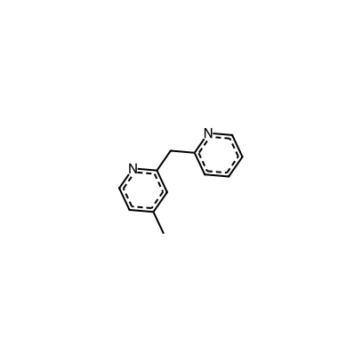 Cc1ccnc(Cc2ccccn2)c1